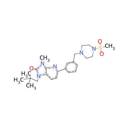 Cn1c(=O)n(CC(C)(C)C)c2ccc(-c3cccc(CN4CCN(S(C)(=O)=O)CC4)c3)nc21